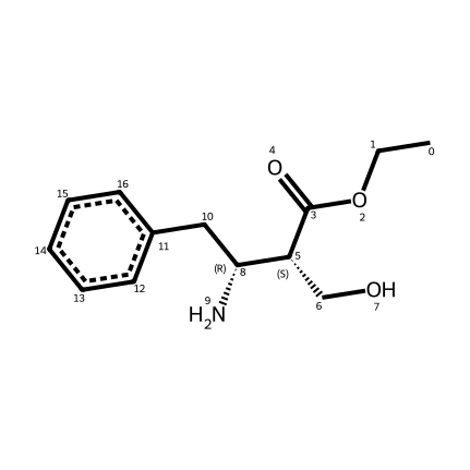 CCOC(=O)[C@H](CO)[C@H](N)Cc1ccccc1